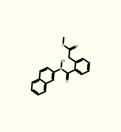 COC(=O)Cc1ccccc1C(=O)N(O)c1ccc2ccccc2c1